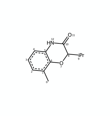 Cc1cccc2c1OC(C(C)C)C(=O)N2